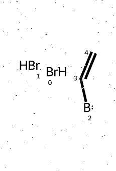 Br.Br.[B]C=C